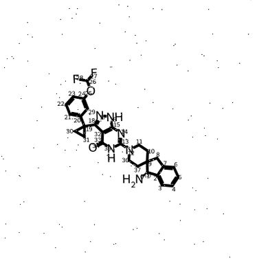 N[C@@H]1c2ccccc2CC12CCN(c1nc3[nH]nc(C4(c5cccc(OC(F)F)c5)CC4)c3c(=O)[nH]1)CC2